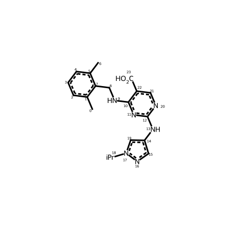 Cc1cccc(C)c1CNc1nc(Nc2cnn(C(C)C)c2)ncc1C(=O)O